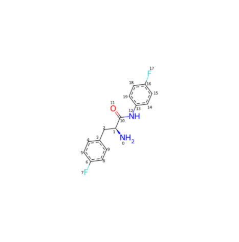 N[C@@H](Cc1ccc(F)cc1)C(=O)Nc1ccc(F)cc1